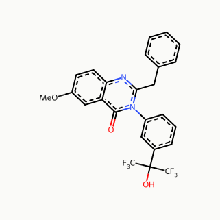 COc1ccc2nc(Cc3ccccc3)n(-c3cccc(C(O)(C(F)(F)F)C(F)(F)F)c3)c(=O)c2c1